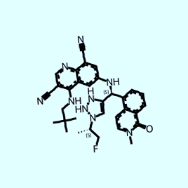 C[C@@H](CF)N1C=C([C@@H](Nc2cc(C#N)c3ncc(C#N)c(NCC(C)(C)C)c3c2)c2cccc3c(=O)n(C)ccc23)NN1